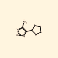 Nc1n[nH]nc1C1CCCC1